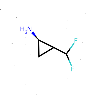 N[C@@H]1CC1C(F)F